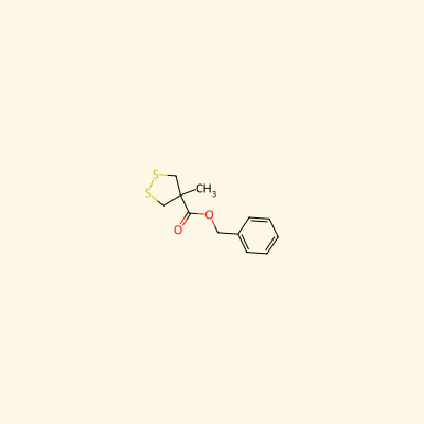 CC1(C(=O)OCc2ccccc2)CSSC1